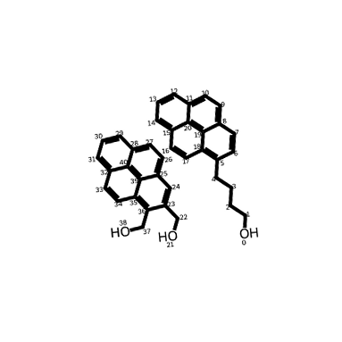 OCCCCc1ccc2ccc3cccc4ccc1c2c34.OCc1cc2ccc3cccc4ccc(c1CO)c2c34